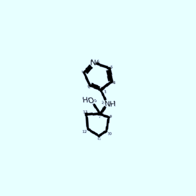 OC1(Nc2ccncc2)CCCCC1